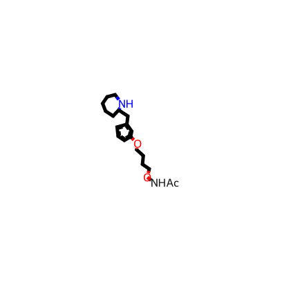 CC(=O)NOCCCCOc1cccc(CC2CCCCCN2)c1